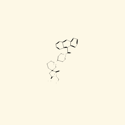 CCN1C(=O)CC2(CCCN(C3CCN(C(=O)c4c5ccccc5cc5ccccc45)CC3)C2)C1=O